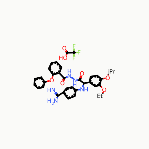 CCOc1cc(C(Nc2ccc(C(=N)N)cc2)C(=O)NNC(=O)c2ccccc2Oc2ccccc2)ccc1OC(C)C.O=C(O)C(F)(F)F